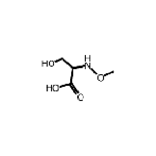 CONC(CO)C(=O)O